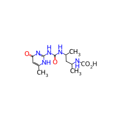 Cc1cc(=O)nc(NC(=O)NC(C)CC(C)NC(=O)O)[nH]1